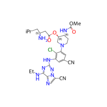 CCNc1nc(Nc2cc(C#N)cc(N3CC[C@@H](NC(=O)OC)[C@H](OC(=O)C[C@@H](N)CC(C)C)C3)c2Cl)nn2c(C#N)cnc12